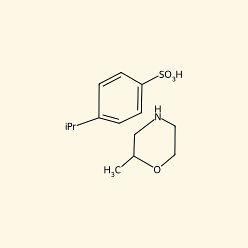 CC(C)c1ccc(S(=O)(=O)O)cc1.CC1CNCCO1